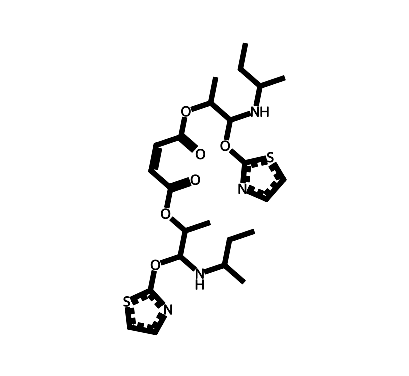 CCC(C)NC(Oc1nccs1)C(C)OC(=O)/C=C\C(=O)OC(C)C(NC(C)CC)Oc1nccs1